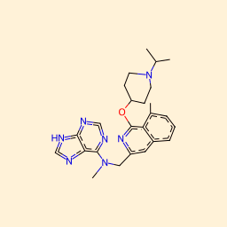 Cc1cccc2cc(CN(C)c3ncnc4[nH]cnc34)nc(OC3CCN(C(C)C)CC3)c12